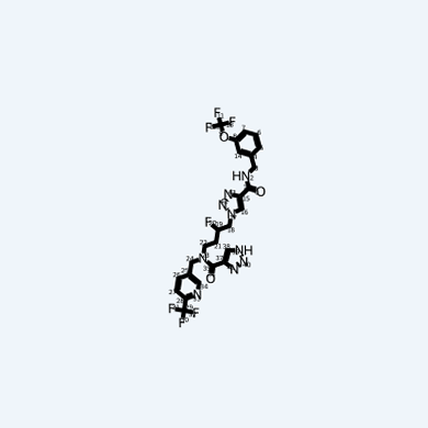 O=C(NCc1cccc(OC(F)(F)F)c1)c1cn(CC(F)CCN(Cc2ccc(C(F)(F)F)nc2)C(=O)c2c[nH]nn2)nn1